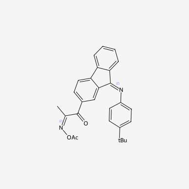 CC(=O)O/N=C(/C)C(=O)c1ccc2c(c1)/C(=N\c1ccc(C(C)(C)C)cc1)c1ccccc1-2